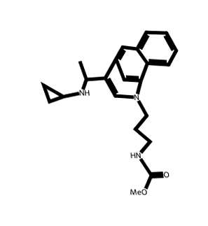 COC(=O)NCCCN1C=C(C(C)NC2CC2)c2cc1c1ccccc1c2